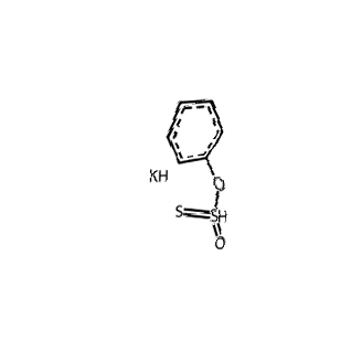 O=[SH](=S)Oc1ccccc1.[KH]